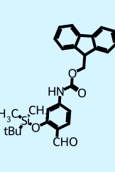 CC(C)(C)[Si](C)(C)Oc1cc(NC(=O)OCC2c3ccccc3-c3ccccc32)ccc1C=O